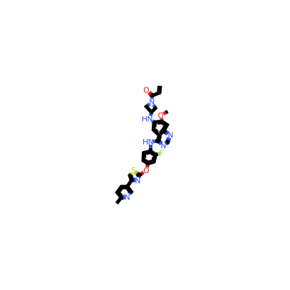 C=CC(=O)N1CC(Nc2cc3c(Nc4ccc(Oc5nc(-c6ccc(C)nc6)cs5)cc4F)ncnc3cc2OC)C1